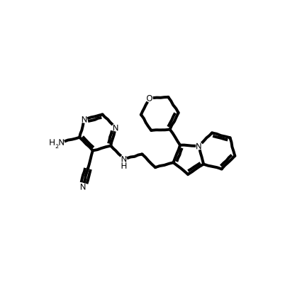 N#Cc1c(N)ncnc1NCCc1cc2ccccn2c1C1=CCOCC1